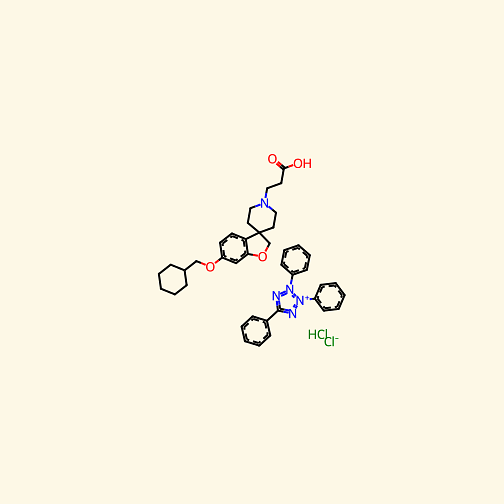 Cl.O=C(O)CCN1CCC2(CC1)COc1cc(OCC3CCCCC3)ccc12.[Cl-].c1ccc(-c2nn(-c3ccccc3)[n+](-c3ccccc3)n2)cc1